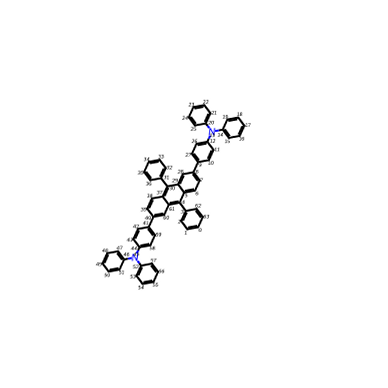 c1ccc(-c2c3ccc(-c4ccc(N(c5ccccc5)c5ccccc5)cc4)cc3c(-c3ccccc3)c3ccc(-c4ccc(N(c5ccccc5)c5ccccc5)cc4)cc23)cc1